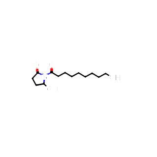 CCCCCCCCCC(=O)N1C(=O)CCC1C